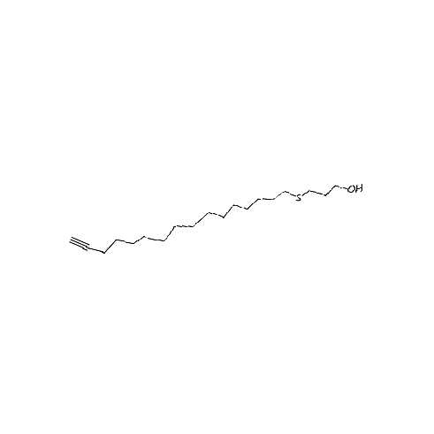 C#CCCCCCCCCCCCCCCSCCCO